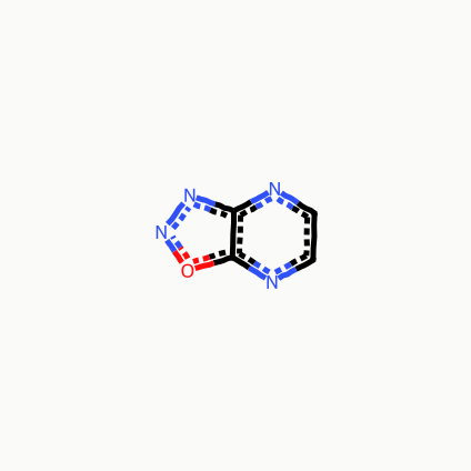 c1cnc2onnc2n1